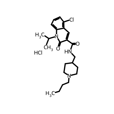 CCCCN1CCC(CNC(=O)c2cc3c(Cl)cccc3n(C(C)C)c2=O)CC1.Cl